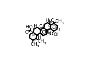 C[C@H]1[C@H](C)CC[C@]2(C(=O)O)CC[C@]3(C)C(=CC[C@@H]4[C@]5(C)[C@@H](CC[C@]43C)C(C)(C)CCC5(O)O)[C@H]12